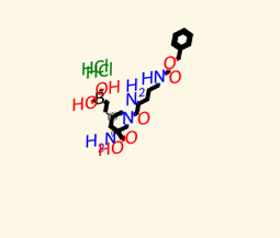 Cl.Cl.NC(CCCNC(=O)OCc1ccccc1)C(=O)N1C[C@@H](CCB(O)O)C[C@](N)(C(=O)O)C1